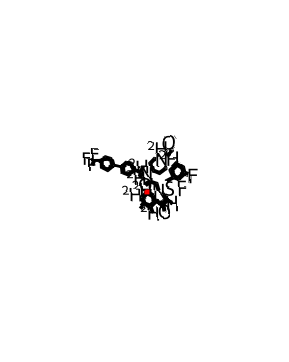 [2H]c1c(C)c([2H])c2c(=O)c([2H])c(SCc3cccc(F)c3F)n(CC(=O)N(C3CCN(C([2H])([2H])COC)CC3)C([2H])([2H])c3ccc(-c4ccc(C(F)(F)F)cc4)cc3)c2c1[2H]